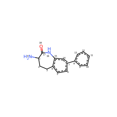 NC1CCc2ccc(-c3ccccc3)cc2NC1=O